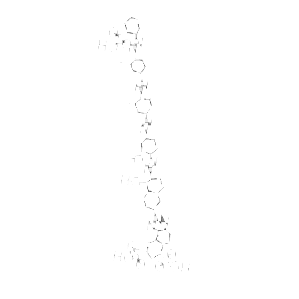 COc1cc(N=Nc2ccc(N=Nc3ccc(N=Nc4ccccc4S(=O)(=O)O)c(C)c3)c(C)c2)c(C)cc1N=Nc1ccc2cc(-n3nc4ccc5c(S(=O)(=O)O)cc(S(=O)(=O)O)cc5c4n3)ccc2c1O